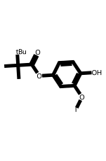 CC(C)(C)C(C)(C)C(=O)Oc1ccc(O)c(OI)c1